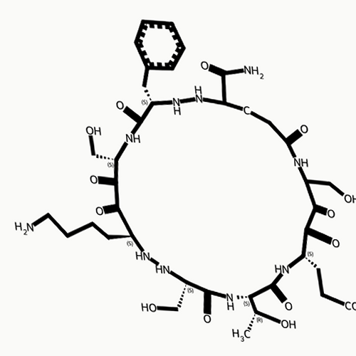 C[C@@H](O)[C@@H]1NC(=O)[C@H](CO)NN[C@@H](CCCCN)C(=O)C(=O)[C@H](CO)NC(=O)[C@H](Cc2ccccc2)NNC(C(N)=O)CCC(=O)NC(CO)C(=O)C(=O)[C@H](CCC(=O)O)NC1=O